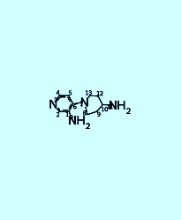 Nc1cnccc1N1CCC(N)CC1